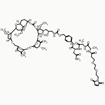 C=C1C[C@@H]2CC[C@@H]3C[C@@H](OC)[C@H](O3)C3C[C@@H](OC)[C@H]4O[C@H](CC[C@@H]4O3)CC(=O)C[C@@H]3[C@@H](OC)[C@@H](C[C@H](O)CNC(=O)OCc4ccc(NC(=O)[C@H](CC(N)=O)NC(=O)[C@H](C)NC(=O)[C@H](C)NC(=O)CCOCCOCCN5C(=O)C=CC5=O)cc4)O[C@H]3C[C@H]3O[C@@H](CC[C@@H]1O2)C[C@@H](C)C3=C